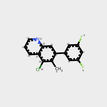 Cc1c(-c2cc(F)cc(F)c2)cc2ncccc2c1Cl